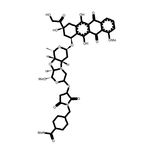 CNC(=O)C1CCC(CN2C(=O)CC(SC3CN4[C@H](O[C@@H]5[C@H](C)O[C@@H](O[C@H]6C[C@](O)(C(=O)CO)Cc7c(O)c8c(c(O)c76)C(=O)c6c(OC)cccc6C8=O)C[C@@H]54)[C@@H](OC)O3)C2=O)CC1